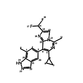 Cc1cc(-c2c(C3CC3)nc(C)n3cc(C(F)F)nc23)cc2cn[nH]c12